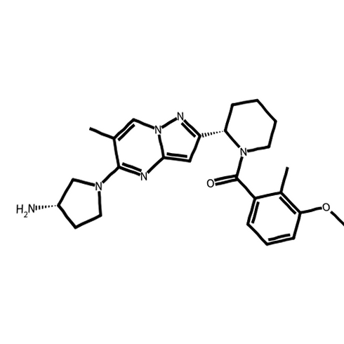 COc1cccc(C(=O)N2CCCC[C@H]2c2cc3nc(N4CC[C@H](N)C4)c(C)cn3n2)c1C